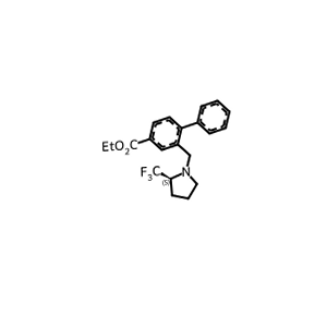 CCOC(=O)c1ccc(-c2ccccc2)c(CN2CCC[C@H]2C(F)(F)F)c1